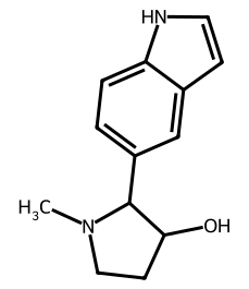 CN1CCC(O)C1c1ccc2[nH]ccc2c1